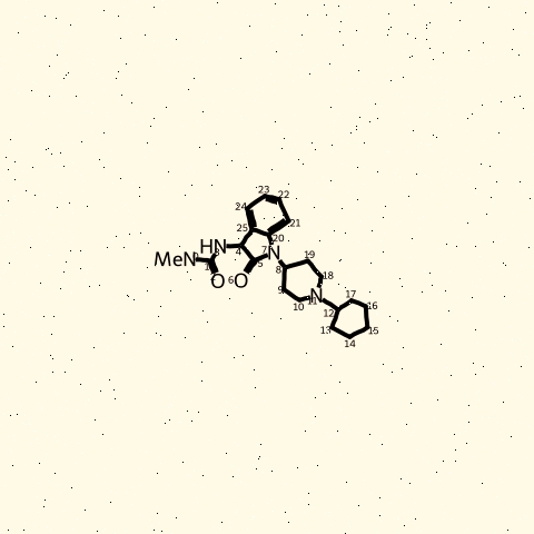 CNC(=O)NC1C(=O)N(C2CCN(C3CCCCC3)CC2)c2ccccc21